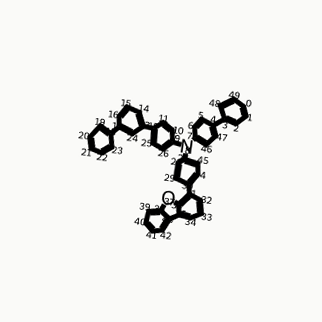 c1ccc(-c2ccc(N(c3ccc(-c4cccc(-c5ccccc5)c4)cc3)c3ccc(-c4cccc5c4oc4ccccc45)cc3)cc2)cc1